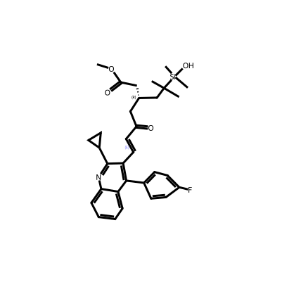 COC(=O)C[C@@H](CC(=O)/C=C/c1c(C2CC2)nc2ccccc2c1-c1ccc(F)cc1)CC(C)(C)[Si](C)(C)O